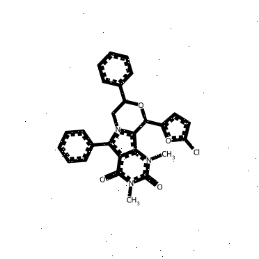 Cn1c(=O)c2c(-c3ccccc3)n3c(c2n(C)c1=O)C(c1ccc(Cl)o1)OC(c1ccccc1)C3